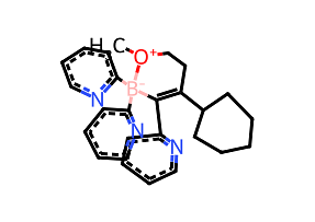 C[O+]1CCC(C2CCCCC2)=C(c2ccccn2)[B-]1(c1ccccn1)c1ccccn1